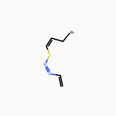 C=C/N=N\S/C=C\CC(C)C